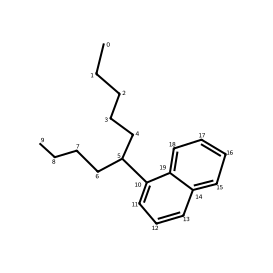 CCCCCC(CCCC)c1cccc2ccccc12